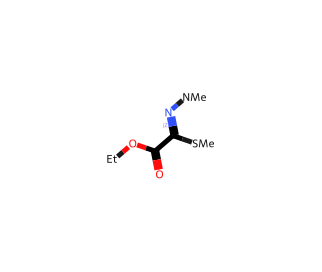 CCOC(=O)/C(=N/NC)SC